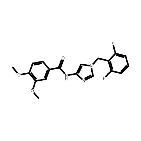 COc1ccc(C(=O)Nc2cn(Cc3c(F)cccc3F)cn2)cc1OC